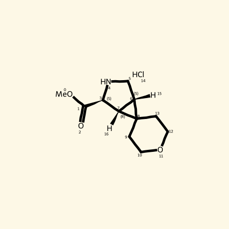 COC(=O)[C@H]1NC[C@H]2[C@@H]1C21CCOCC1.Cl